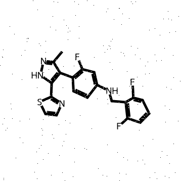 Cc1n[nH]c(-c2nccs2)c1-c1ccc(NCc2c(F)cccc2F)cc1F